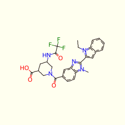 CCn1c(-c2nc3cc(C(=O)N4CC(NC(=O)C(F)(F)F)CC(C(=O)O)C4)ccc3n2C)cc2ccccc21